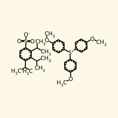 CC(C)c1ccc(S(=O)(=O)[O-])c(C(C)C)c1C(C)C.COc1ccc([S+](c2ccc(OC)cc2)c2ccc(OC)cc2)cc1